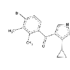 Cc1c(Br)ccc(C(=O)c2cnoc2C2CC2)c1C